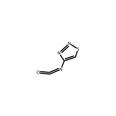 O=C=Nc1[c]snn1